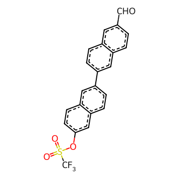 O=Cc1ccc2cc(-c3ccc4cc(OS(=O)(=O)C(F)(F)F)ccc4c3)ccc2c1